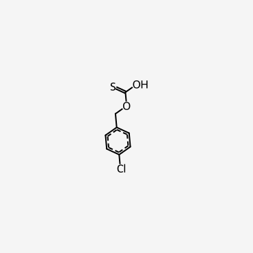 OC(=S)OCc1ccc(Cl)cc1